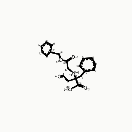 O=CCC(Cc1ccccc1)(NCC(=O)OCc1ccccc1)C(=O)O